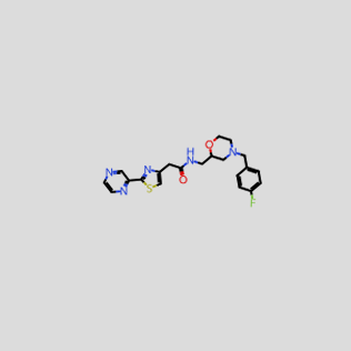 O=C(Cc1csc(-c2cnccn2)n1)NCC1CN(Cc2ccc(F)cc2)CCO1